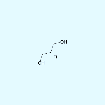 OCCCO.[Ti]